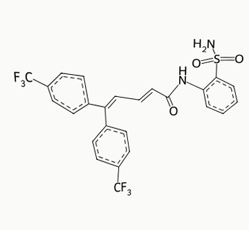 NS(=O)(=O)c1ccccc1NC(=O)C=CC=C(c1ccc(C(F)(F)F)cc1)c1ccc(C(F)(F)F)cc1